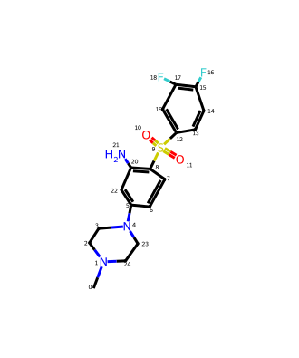 CN1CCN(c2ccc(S(=O)(=O)c3ccc(F)c(F)c3)c(N)c2)CC1